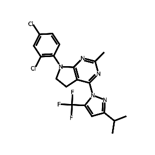 Cc1nc2c(c(-n3nc(C(C)C)cc3C(F)(F)F)n1)CCN2c1ccc(Cl)cc1Cl